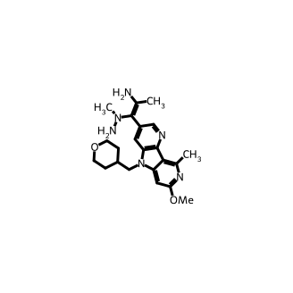 COc1cc2c(c(C)n1)c1ncc(/C(=C(\C)N)N(C)N)cc1n2CC1CCOCC1